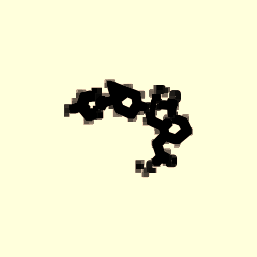 CC(C)OC(=O)N1CCCC(CC(=O)C(F)(F)F)C1COC1CCC2(c3ncc(F)cn3)CC2C1